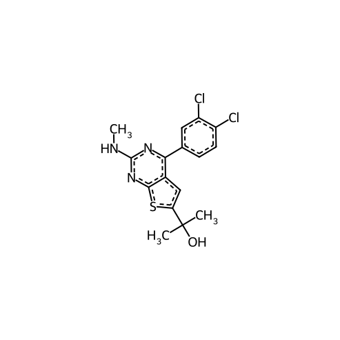 CNc1nc(-c2ccc(Cl)c(Cl)c2)c2cc(C(C)(C)O)sc2n1